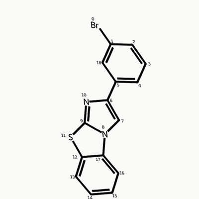 Brc1cccc(-c2cn3c(n2)sc2ccccc23)c1